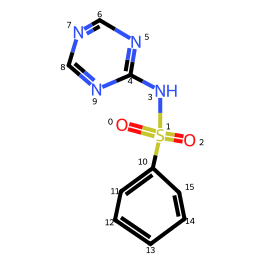 O=S(=O)(Nc1ncncn1)c1ccccc1